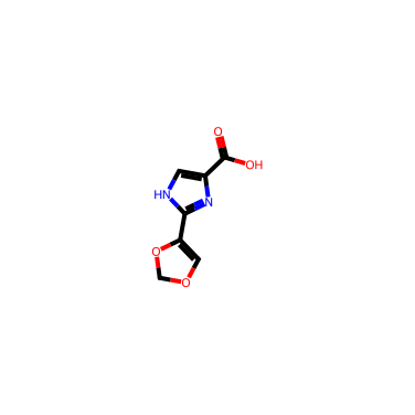 O=C(O)c1c[nH]c(C2=COCO2)n1